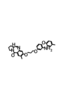 Cc1ccc(Oc2ccc(OCCCOc3cc4c(cc3C)C(=O)N3CCC[C@H]3C=N4)cc2N)cc1